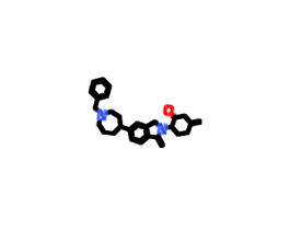 C=C1CCC(N2Cc3cc(C4CCCN(Cc5ccccc5)CC4)ccc3C2=C)C(=O)C1